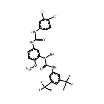 COc1ccc(NC(=O)Nc2ccc(Cl)c(Cl)c2)cc1N(S)C(=O)Nc1cc(C(F)(F)F)cc(C(F)(F)F)c1